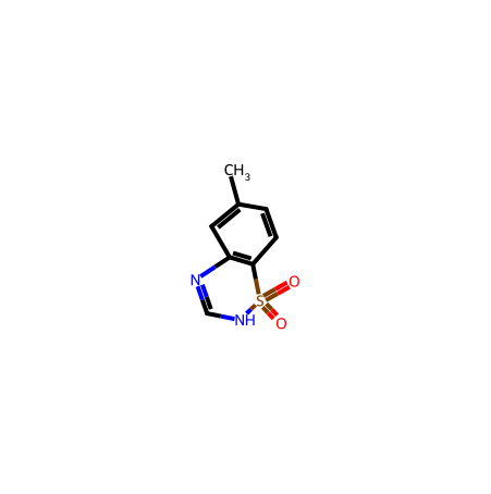 Cc1ccc2c(c1)N=CNS2(=O)=O